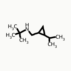 CC(C)C1CC1CNC(C)(C)C